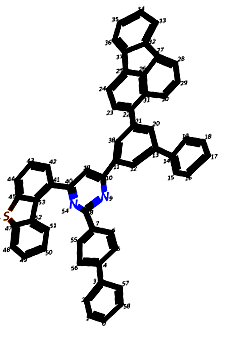 c1ccc(-c2ccc(-c3nc(-c4cc(-c5ccccc5)cc(-c5ccc6c7c(cccc57)-c5ccccc5-6)c4)cc(-c4cccc5sc6ccccc6c45)n3)cc2)cc1